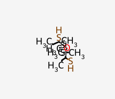 CCC(S)[Si](C)(C)O[Si](C)(C)C(S)CC